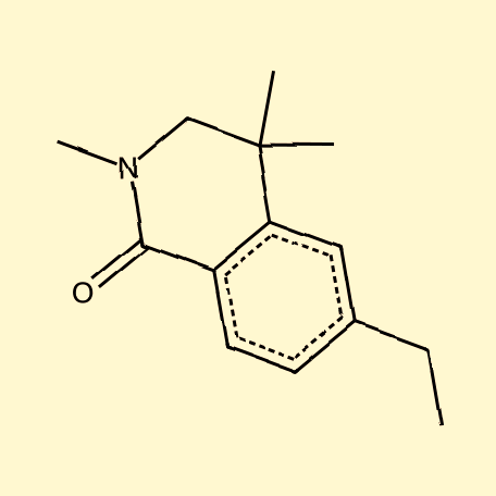 CCc1ccc2c(c1)C(C)(C)CN(C)C2=O